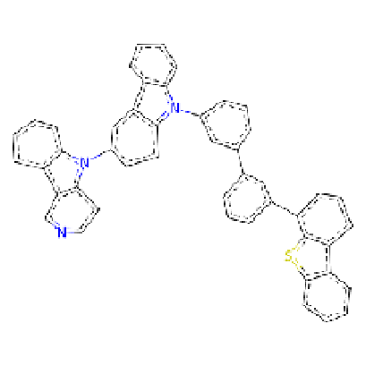 c1cc(-c2cccc(-n3c4ccccc4c4cc(-n5c6ccccc6c6cnccc65)ccc43)c2)cc(-c2cccc3c2sc2ccccc23)c1